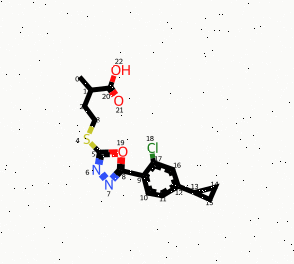 CC(CCSc1nnc(-c2ccc(C3CC3)cc2Cl)o1)C(=O)O